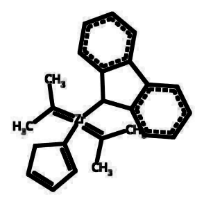 C[C](C)=[Zr]([C]1=CC=CC1)(=[C](C)C)[CH]1c2ccccc2-c2ccccc21